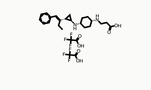 CC/C(=C\c1ccccc1)[C@@H]1C[C@H]1N[C@H]1CC[C@@H](NCCC(=O)O)CC1.O=C(O)C(F)(F)F.O=C(O)C(F)(F)F